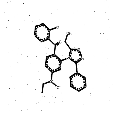 CC[S+]([O-])c1ccc(C(=O)c2ccccc2Cl)c(-n2c(CO)nnc2-c2ccccc2)c1